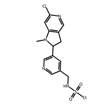 CCS(=O)(=O)NCc1cncc(C2Cc3cnc(Cl)cc3N2C)c1